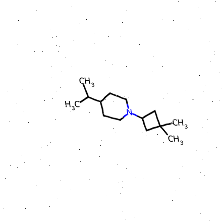 CC(C)C1CCN(C2CC(C)(C)C2)CC1